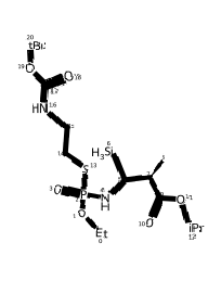 CCOP(=O)(NC([SiH3])[C@@H](C)C(=O)OC(C)C)SCCNC(=O)OC(C)(C)C